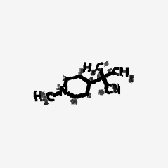 CN1CCC(C(C)(C)C#N)CC1